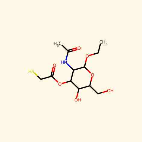 CCOC1OC(CO)C(O)C(OC(=O)CS)C1NC(C)=O